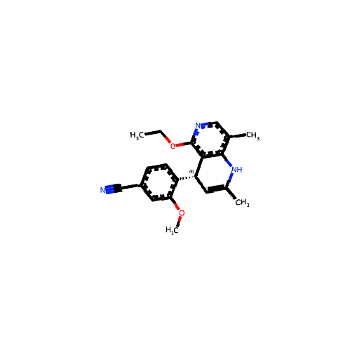 CCOc1ncc(C)c2c1[C@@H](c1ccc(C#N)cc1OC)C=C(C)N2